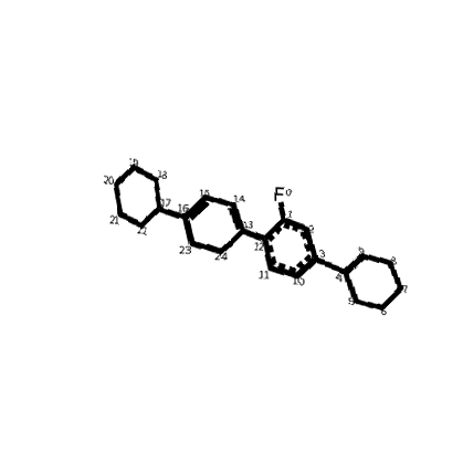 Fc1cc(C2CCCCC2)ccc1C1=CC=C(C2CCCCC2)CC1